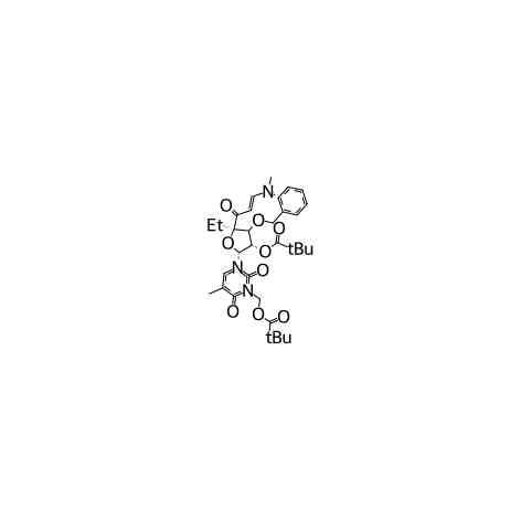 CC[C@@]1(C(=O)/C=C/N(C)C)O[C@@H](n2cc(C)c(=O)n(COC(=O)C(C)(C)C)c2=O)[C@@H](OC(=O)C(C)(C)C)C1OCc1ccccc1